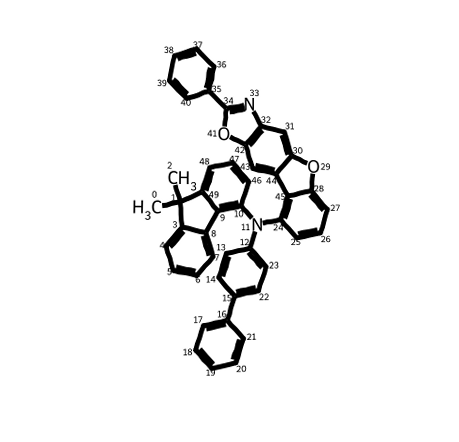 CC1(C)c2ccccc2-c2c(N(c3ccc(-c4ccccc4)cc3)c3cccc4oc5cc6nc(-c7ccccc7)oc6cc5c34)cccc21